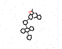 C=c1cccc/c1=C/c1c(C)oc2cc(-c3cccc(-c4c5ccccc5c(-c5ccccc5)c5ccccc45)c3)ccc12